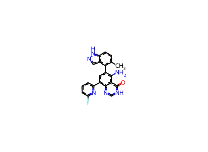 Cc1ccc2[nH]ncc2c1-c1cc(-c2cccc(F)n2)c2nc[nH]c(=O)c2c1N